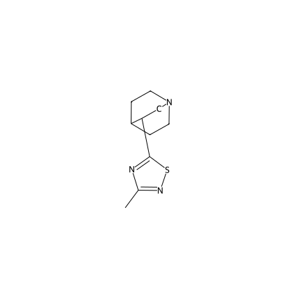 Cc1nsc(C2CN3CCC2CC3)n1